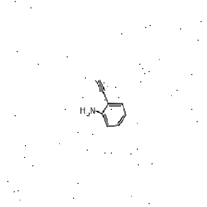 [C]#Cc1ccccc1N